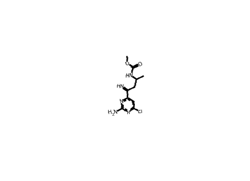 COC(=O)NC(C)CC(=N)c1cc(Cl)nc(N)n1